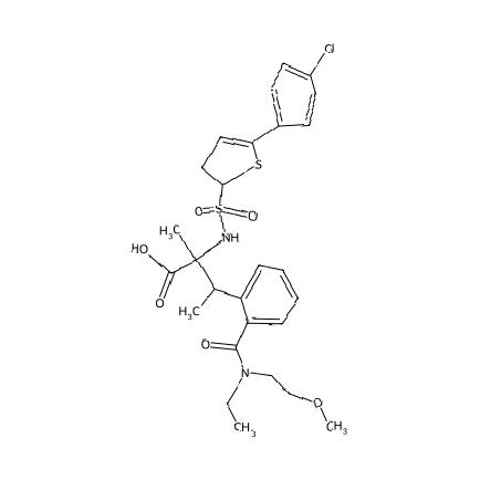 CCN(CCOC)C(=O)c1ccccc1C(C)C(C)(NS(=O)(=O)C1CC=C(c2ccc(Cl)cc2)S1)C(=O)O